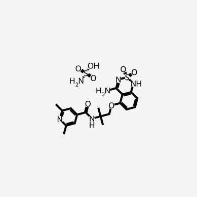 Cc1cc(C(=O)NC(C)(C)COc2cccc3c2C(N)=NS(=O)(=O)N3)cc(C)n1.NS(=O)(=O)O